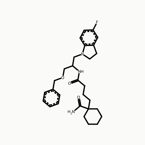 NC(=O)C1(CC[CH]C(=O)NC(COCc2ccccc2)CN2CCc3cc(F)ccc32)CCCCC1